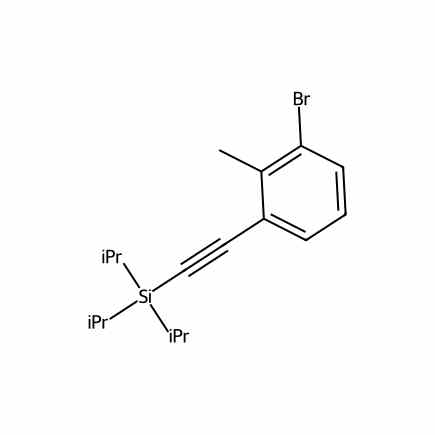 Cc1c(Br)cccc1C#C[Si](C(C)C)(C(C)C)C(C)C